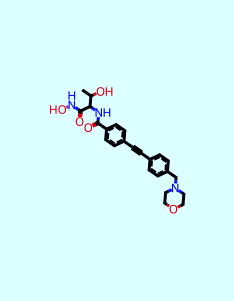 CC(O)C(NC(=O)c1ccc(C#Cc2ccc(CN3CCOCC3)cc2)cc1)C(=O)NO